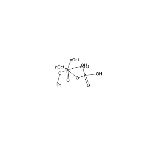 CCCCCCC[CH2][Ti](=[O])([CH2]CCCCCCC)([CH2]CCCCCCC)([O]C(C)C)[O]P(=O)(O)O